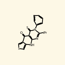 CC(C)c1nc2[nH]c3cscc3c(=O)c2c(=S)n1-c1ccccc1